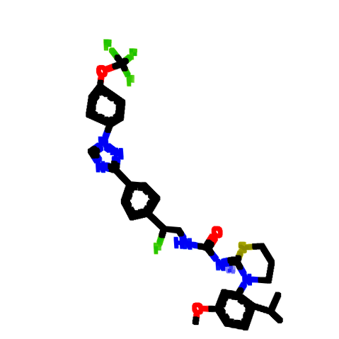 COc1ccc(C(C)C)c(N2CCCS/C2=N\C(=O)NCC(F)c2ccc(-c3ncn(-c4ccc(OC(F)(F)F)cc4)n3)cc2)c1